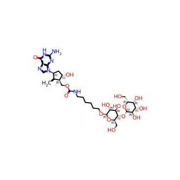 C=C1[C@H](COC(=O)NCCCCCCO[C@@H]2O[C@H](CO)[C@@H](O[C@@H]3O[C@H](CO)[C@H](O)[C@H](O)[C@H]3O)[C@H](O)[C@H]2O)[C@@H](O)C[C@@H]1n1cnc2c(=O)[nH]c(N)nc21